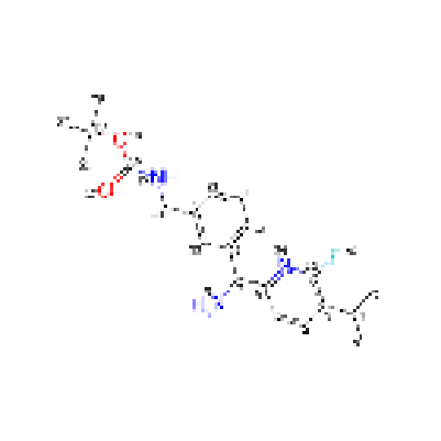 CC(C)c1ccc(C(N)c2cccc(CNC(=O)OC(C)(C)C)c2)nc1F